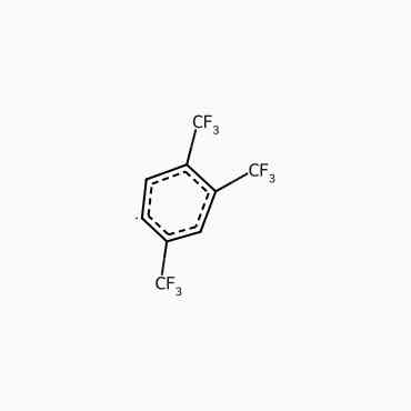 FC(F)(F)c1[c]cc(C(F)(F)F)c(C(F)(F)F)c1